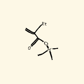 C=C(CC)C(=O)O[N+](C)(C)C